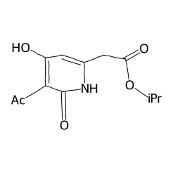 CC(=O)c1c(O)cc(CC(=O)OC(C)C)[nH]c1=O